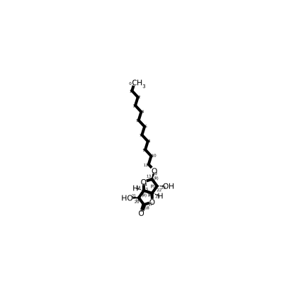 CCCCCCCCCCCCO[C@@H]1O[C@H]2[C@H](OC(=O)[C@H]2O)[C@H]1O